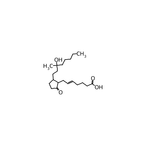 CCCCCC(C)(O)CCC1CCC(=O)C1CC=CCCCC(=O)O